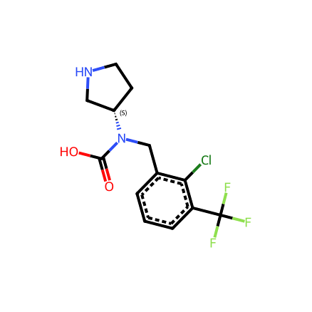 O=C(O)N(Cc1cccc(C(F)(F)F)c1Cl)[C@H]1CCNC1